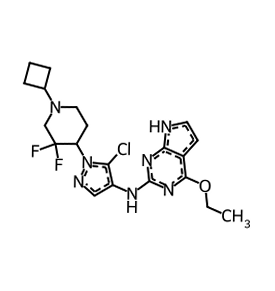 CCOc1nc(Nc2cnn(C3CCN(C4CCC4)CC3(F)F)c2Cl)nc2[nH]ccc12